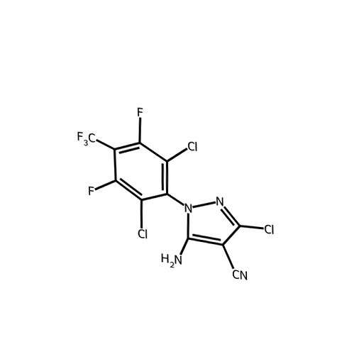 N#Cc1c(Cl)nn(-c2c(Cl)c(F)c(C(F)(F)F)c(F)c2Cl)c1N